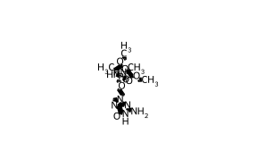 CCOC(=O)[C@H](C)NP(=O)(COCCn1cnc2c(=O)[nH]c(N)nc21)N[C@H](C)C(=O)OCC